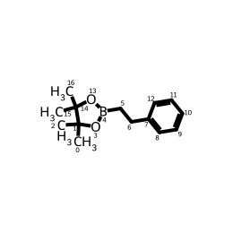 CC1(C)OB(CCc2ccccc2)OC1(C)C